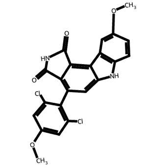 COc1cc(Cl)c(-c2cc3[nH]c4ccc(OC)cc4c3c3c2C(=O)NC3=O)c(Cl)c1